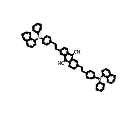 N#Cc1c2ccc(C=Cc3ccc(N(c4ccccc4)c4cccc5ccccc45)cc3)cc2c(C#N)c2ccc(C=Cc3ccc(N(c4ccccc4)c4cccc5ccccc45)cc3)cc12